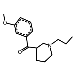 CCCN1CCCC(C(=O)c2cccc(OC)c2)C1